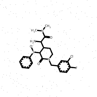 CN(C)C(=O)C(N)C1CCN(Cc2ccc(F)c(Cl)c2)C(=O)C1[S+]([O-])c1ccccc1